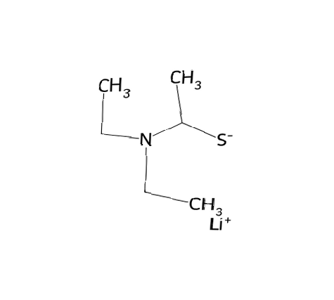 CCN(CC)C(C)[S-].[Li+]